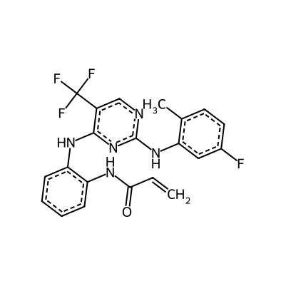 C=CC(=O)Nc1ccccc1Nc1nc(Nc2cc(F)ccc2C)ncc1C(F)(F)F